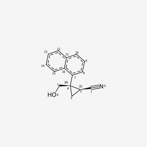 N#C[C@H]1C[C@]1(CO)c1cccc2ccccc12